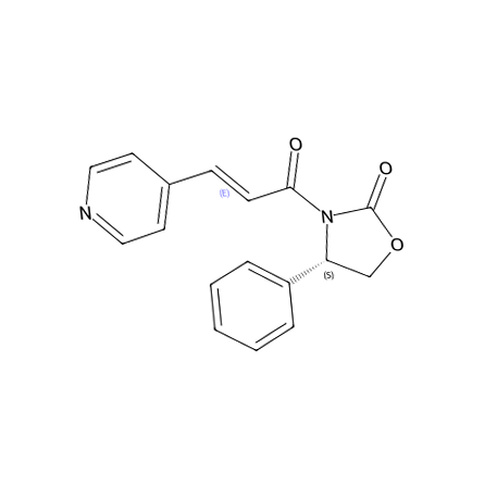 O=C(/C=C/c1ccncc1)N1C(=O)OC[C@@H]1c1ccccc1